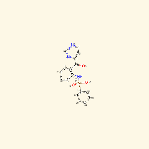 O=C(c1ccncn1)c1ccccc1NS(=O)(=O)c1ccccc1